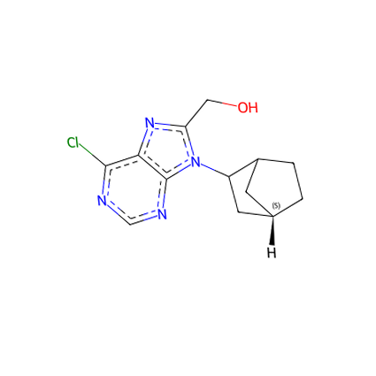 OCc1nc2c(Cl)ncnc2n1C1C[C@H]2CCC1C2